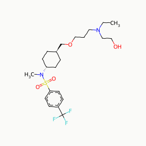 CCN(CCO)CCCOC[C@H]1CC[C@H](N(C)S(=O)(=O)c2ccc(C(F)(F)F)cc2)CC1